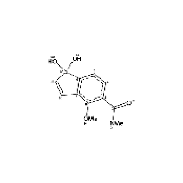 CNC(=O)c1ccc2c(c1OC)C=CS2(O)O